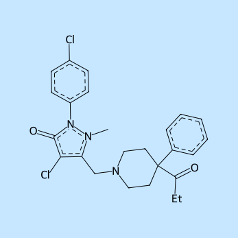 CCC(=O)C1(c2ccccc2)CCN(Cc2c(Cl)c(=O)n(-c3ccc(Cl)cc3)n2C)CC1